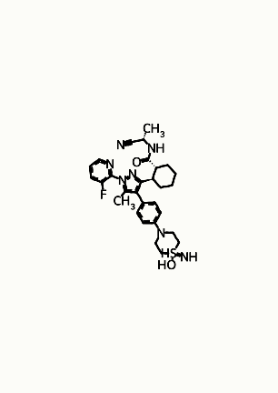 Cc1c(-c2ccc(N3CC[SH](=N)(O)CC3)cc2)c([C@@H]2CCCC[C@H]2C(=O)N[C@@H](C)C#N)nn1-c1ncccc1F